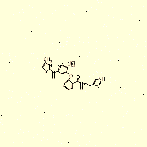 Cc1csc(Nc2cc(Oc3ccccc3C(=O)NCCc3c[nH]cn3)ccn2)n1.Cl.Cl